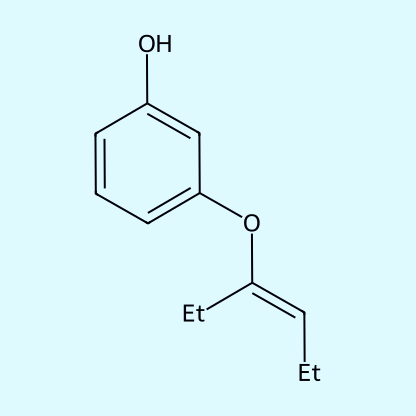 CC/C=C(\CC)Oc1cccc(O)c1